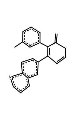 C=C1CC=CC(c2ccc3ncccc3c2)=C1c1cccc(C)c1